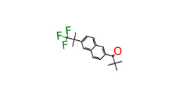 CC(C)(C)C(=O)c1ccc2cc(C(C)(C)C(F)(F)F)ccc2c1